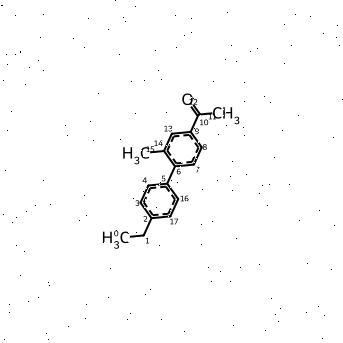 CCc1ccc(-c2ccc(C(C)=O)cc2C)cc1